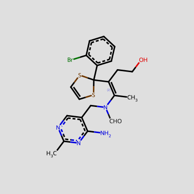 C/C(=C(\CCO)C1(c2ccccc2Br)SC=CS1)N(C=O)Cc1cnc(C)nc1N